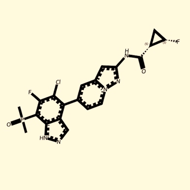 CP(C)(=O)c1c(F)c(Cl)c(-c2ccn3nc(NC(=O)[C@@H]4C[C@@H]4F)cc3c2)c2cn[nH]c12